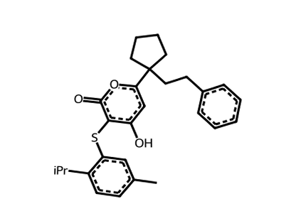 Cc1ccc(C(C)C)c(Sc2c(O)cc(C3(CCc4ccccc4)CCCC3)oc2=O)c1